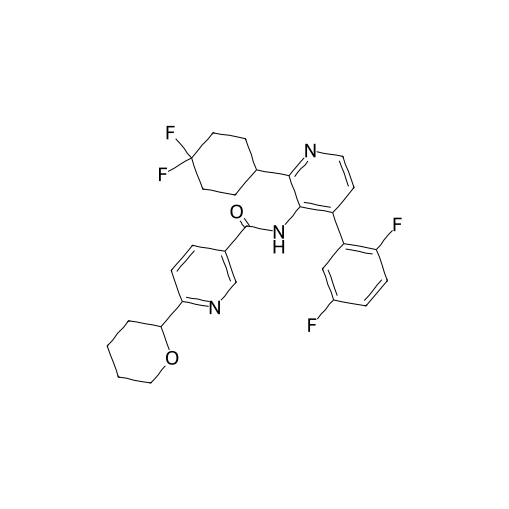 O=C(Nc1c(-c2cc(F)ccc2F)ccnc1C1CCC(F)(F)CC1)c1ccc(C2CCCCO2)nc1